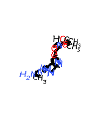 CC1(N)CCN(c2cnc(-c3cc(OCC4CN(C(=O)OC(C)(C)C)CCO4)cn4ncc(C#N)c34)cn2)CC1